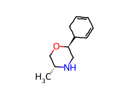 C[C@@H]1CO[C@@H](C2C=CC=CC2)CN1